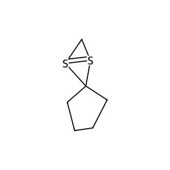 C1CCC2(C1)S1=S2C1